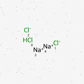 Cl.[Cl-].[Cl-].[Na+].[Na+]